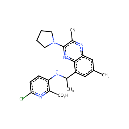 Cc1cc(C(C)Nc2ccc(Cl)nc2C(=O)O)c2nc(N3CCCC3)c(C#N)nc2c1